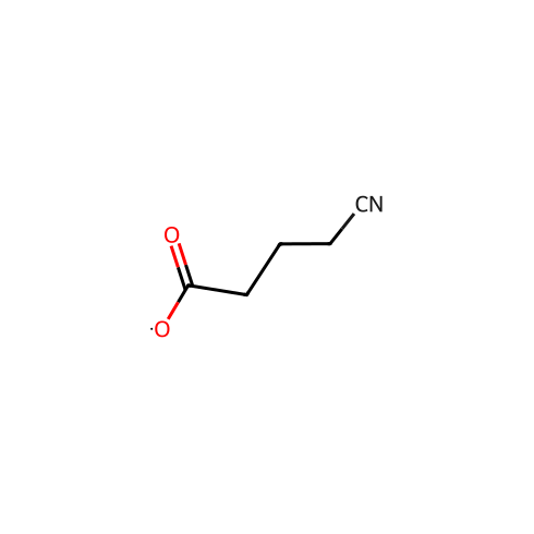 N#CCCCC([O])=O